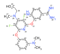 CN(C)c1cccc(Oc2nc(Oc3cc(C(=N)N)ccc3N)c(F)c(N(C)CC(=O)O)c2F)c1